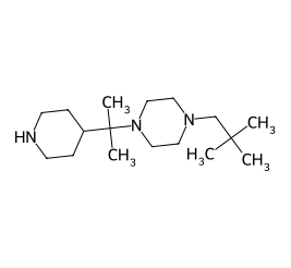 CC(C)(C)CN1CCN(C(C)(C)C2CCNCC2)CC1